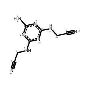 N#CCNc1nc(N)nc(NCC#N)n1